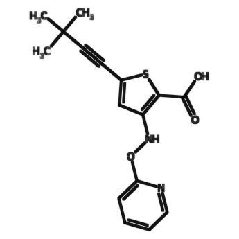 CC(C)(C)C#Cc1cc(NOc2ccccn2)c(C(=O)O)s1